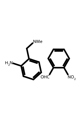 CNCc1ccccc1N.O=Cc1ccccc1[N+](=O)[O-]